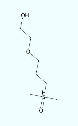 C[SH](C)(=O)CCCOCCO